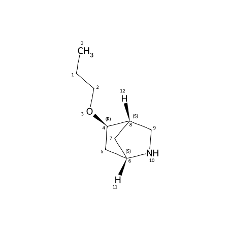 CCCO[C@@H]1C[C@@H]2C[C@H]1CN2